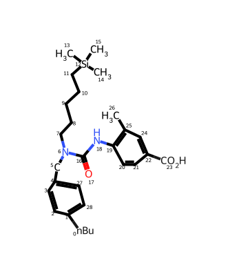 CCCCc1ccc(CN(CCCCC[Si](C)(C)C)C(=O)Nc2ccc(C(=O)O)cc2C)cc1